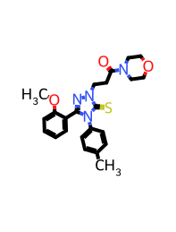 COc1ccccc1-c1nn(CCC(=O)N2CCOCC2)c(=S)n1-c1ccc(C)cc1